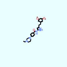 CCN1CCCN(c2ccc(C(=O)Nc3cc(CCc4cc(OC)cc(OC)c4)n[nH]3)cc2)CC1